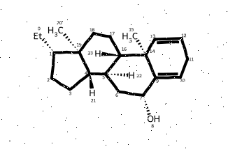 CC[C@H]1CC[C@H]2[C@@H]3C[C@@H](O)C4=CCC=C[C@]4(C)[C@H]3CC[C@]12C